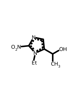 CCn1c(C(C)O)cnc1[N+](=O)[O-]